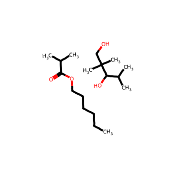 CC(C)C(O)C(C)(C)CO.CCCCCCOC(=O)C(C)C